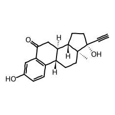 C#C[C@]1(O)CC[C@H]2[C@@H]3CC(=O)c4cc(O)ccc4[C@H]3CC[C@@]21C